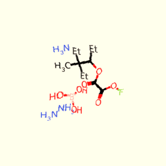 CCC(OC(=O)C(=O)OF)C(C)(CC)CC.N.N.N.OB(O)O